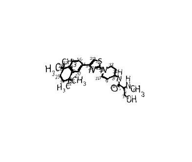 CNC(CO)C(=O)NC1CCN(c2nc(-c3ccc4c(c3)C(C)(C)CCC4(C)C)cs2)CC1